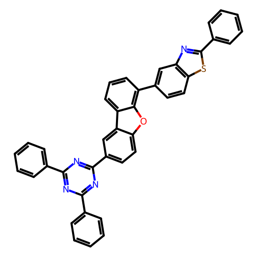 c1ccc(-c2nc(-c3ccccc3)nc(-c3ccc4oc5c(-c6ccc7sc(-c8ccccc8)nc7c6)cccc5c4c3)n2)cc1